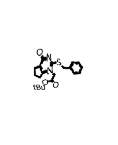 CC(C)(C)OC(=O)Cn1c(SCc2ccccc2)nc(=O)c2c1CCC2